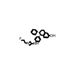 Oc1ccc2c(c1)CC[C@@H](c1ccccc1)[C@H]2c1ccc(NC2CN(CCCF)C2)cc1